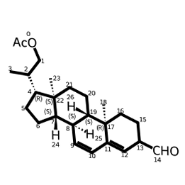 CC(=O)OCC(C)[C@H]1CC[C@H]2[C@@H]3C=CC4=CC(C=O)CC[C@]4(C)[C@H]3CC[C@]12C